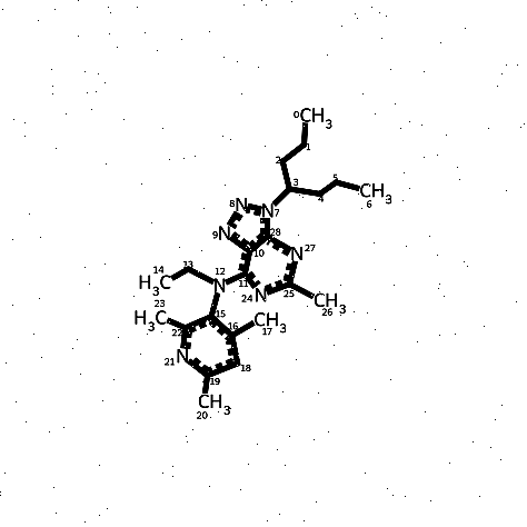 CCCC(CCC)n1nnc2c(N(CC)c3c(C)cc(C)nc3C)nc(C)nc21